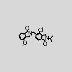 COc1cccc2c1CN(Cc1ccc3c(c1Cl)CN(C(C)C)C3=O)C2=O